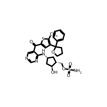 Cc1sc(C(=O)c2cncnc2N[C@@H]2C[C@H](COS(N)(=O)=O)[C@@H](O)C2)cc1C1(c2ccccc2)CCCO1